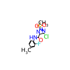 Cc1ccc(NC(=O)c2nn(S(C)(=O)=O)nc2Cl)c(F)c1